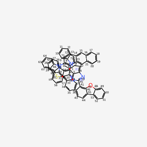 CC1C/C=C(c2c(-n3c4ccccc4c4cc5ccccc5cc43)c3c4ccccc4sc3c3ccccc23)/N=C(c2cccc3c2oc2ccccc23)\N=C/1c1cccc2c3ccccc3n(-c3ccccc3)c12